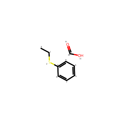 CCSc1ccccc1.O=CO